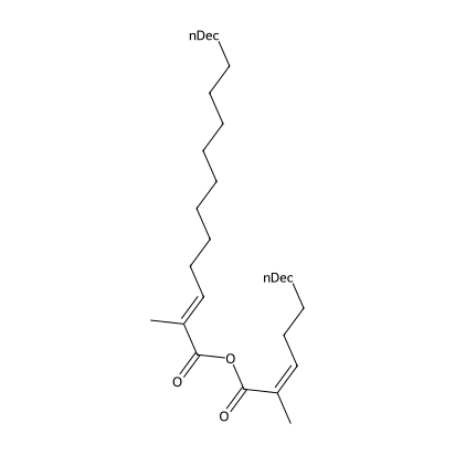 CCCCCCCCCCCCC=C(C)C(=O)OC(=O)C(C)=CCCCCCCCCCCCCCCCCCC